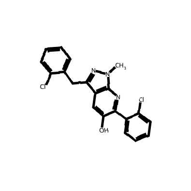 Cn1nc(Cc2ccccc2Cl)c2cc(O)c(-c3ccccc3Cl)nc21